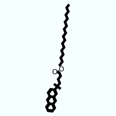 CCCCCCCCCCCCCCCCCCOC(=O)CCCC(C)(C)c1ccc2cc3ccccc3cc2c1